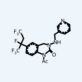 CC(=O)N1C(=O)N(NCc2cccnc2)Cc2cc(C(F)(CC(F)(F)F)C(F)(F)F)ccc21